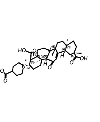 COC(=O)C1CCN([C@H]2CC[C@@]3(C)[C@@H](CC[C@]4(C)[C@@H]3C(=O)C=C3[C@@H]5C[C@@](C)(C(=O)O)CC[C@]5(C)CC[C@]34C)[C@]2(C)C(=O)O)CC1